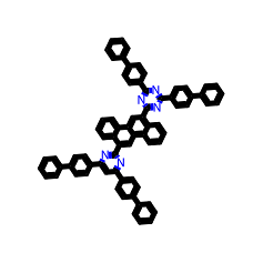 c1ccc(-c2ccc(-c3cc(-c4ccc(-c5ccccc5)cc4)nc(-c4cc5c6ccccc6c(-c6nc(-c7ccc(-c8ccccc8)cc7)nc(-c7ccc(-c8ccccc8)cc7)n6)cc5c5ccccc45)n3)cc2)cc1